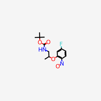 CC(CNC(=O)OC(C)(C)C)Oc1cc(F)ccc1N=O